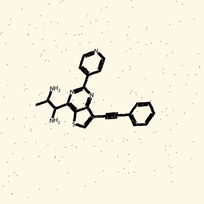 CC(N)C(N)c1nc(-c2ccncc2)nc2c(C#Cc3ccccc3)csc12